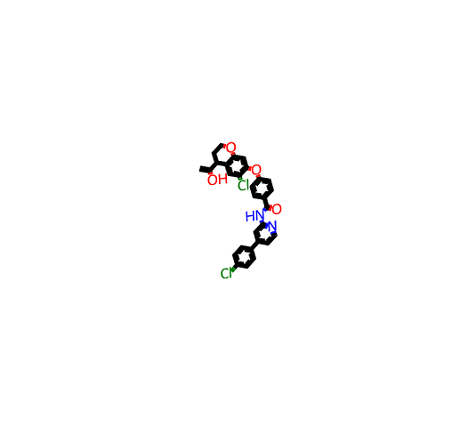 C=C(O)C1CCOc2cc(Oc3ccc(C(=O)Nc4cc(-c5ccc(Cl)cc5)ccn4)cc3)c(Cl)cc21